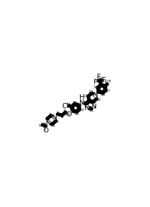 CC(=O)N1CCN(CCCOc2ccc(Nc3ncnc4c3CCN(c3ccc(C)c(C(F)(F)F)c3)C4)cc2Cl)CC1